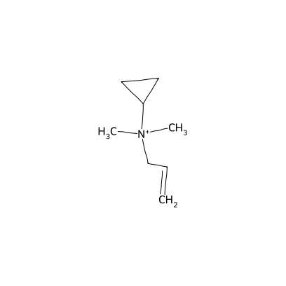 C=CC[N+](C)(C)C1CC1